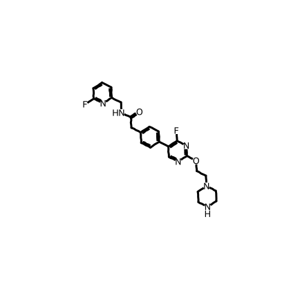 O=C(Cc1ccc(-c2cnc(OCCN3CCNCC3)nc2F)cc1)NCc1cccc(F)n1